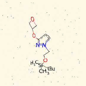 CC(C)(C)[Si](C)(C)OCCn1ccc(OC2COC2)n1